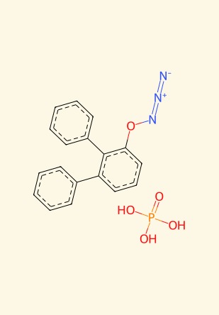 O=P(O)(O)O.[N-]=[N+]=NOc1cccc(-c2ccccc2)c1-c1ccccc1